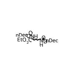 CCCCCCCCCCOC(=O)NCCCCC(NC(=O)OCCCCCCCCCC)C(=O)OCC